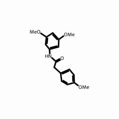 COc1ccc(CC(=O)Nc2cc(OC)cc(OC)c2)cc1